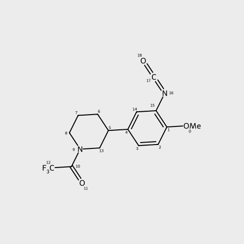 COc1ccc(C2CCCN(C(=O)C(F)(F)F)C2)cc1N=C=O